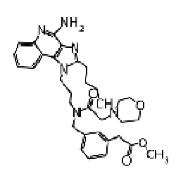 CCCCc1nc2c(N)nc3ccccc3c2n1CCCN(Cc1cccc(CC(=O)OC)c1)C(=O)CN1CCOCC1